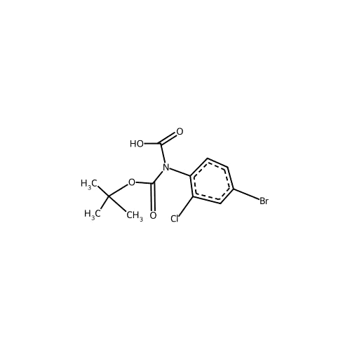 CC(C)(C)OC(=O)N(C(=O)O)c1ccc(Br)cc1Cl